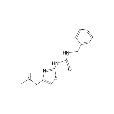 CNCc1csc(NC(=O)NCc2ccccc2)n1